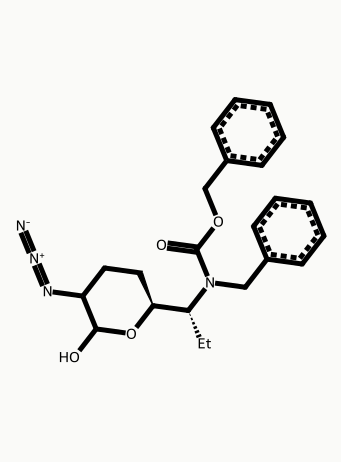 CC[C@H]([C@@H]1CCC(N=[N+]=[N-])C(O)O1)N(Cc1ccccc1)C(=O)OCc1ccccc1